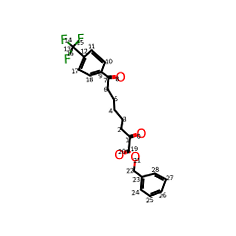 O=C(CCCCCC(=O)c1ccc(C(F)(F)F)cc1)C(=O)OCc1ccccc1